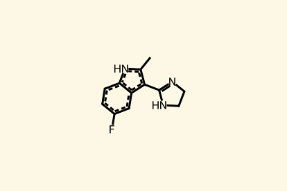 Cc1[nH]c2ccc(F)cc2c1C1=NCCN1